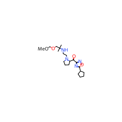 COCOCC(C)(C)NCCN1CCCC1C(=O)c1noc(C2CCCC2)n1